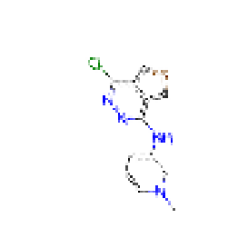 CN1C=CC=C(Nc2nnc(Cl)c3cscc23)C1